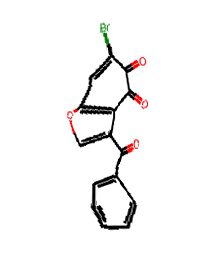 O=C1C(=O)c2c(C(=O)c3ccccc3)coc2C=C1Br